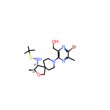 Cc1nc(N2CCC3(CC2)CO[C@@H](C)[C@H]3NSC(C)(C)C)c(CO)nc1Br